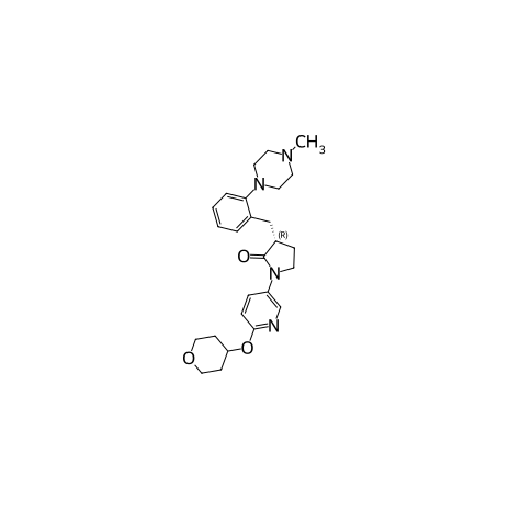 CN1CCN(c2ccccc2C[C@@H]2CCN(c3ccc(OC4CCOCC4)nc3)C2=O)CC1